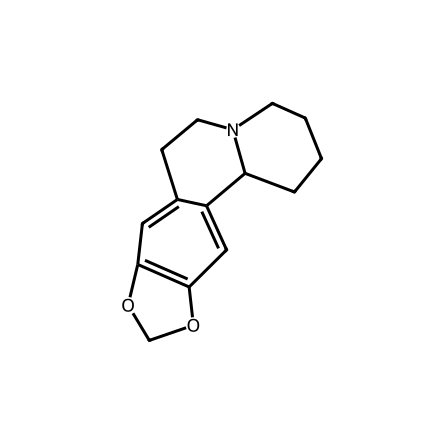 c1c2c(cc3c1OCO3)C1CCCCN1CC2